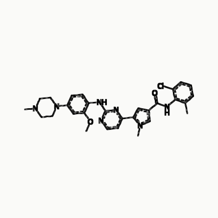 COc1cc(N2CCN(C)CC2)ccc1Nc1nccc(-c2cc(C(=O)Nc3c(C)cccc3Cl)cn2C)n1